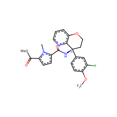 COC(=O)c1ccc(C(=O)N[C@]2(c3ccc(OC(F)(F)F)c(F)c3)CCOc3cccnc32)n1C